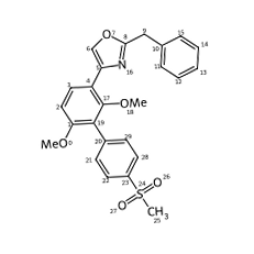 COc1ccc(-c2coc(Cc3ccccc3)n2)c(OC)c1-c1ccc(S(C)(=O)=O)cc1